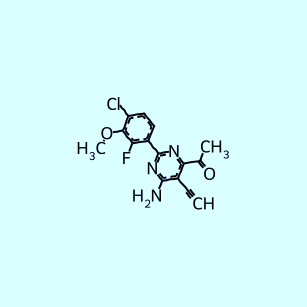 C#Cc1c(N)nc(-c2ccc(Cl)c(OC)c2F)nc1C(C)=O